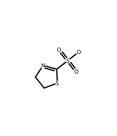 [O]S(=O)(=O)C1=NCCS1